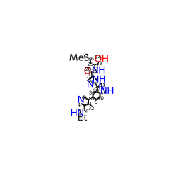 CCNCc1cncc(-c2ccc3[nH]nc(-c4ncc(C(=O)NC(CO)CCSC)[nH]4)c3c2)c1C